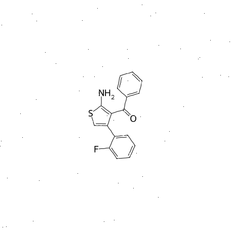 Nc1scc(-c2ccccc2F)c1C(=O)c1ccccc1